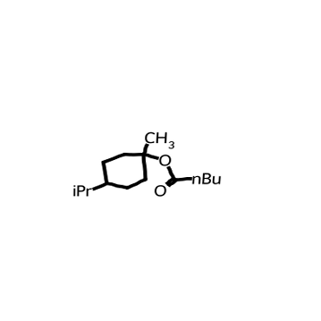 CCCCC(=O)OC1(C)CCC(C(C)C)CC1